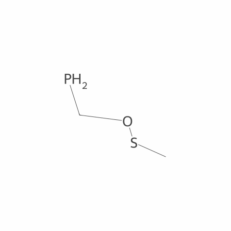 CSOCP